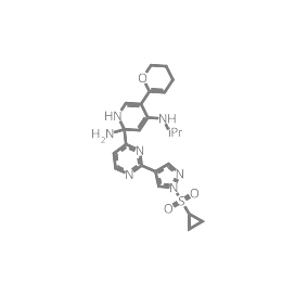 CC(C)NC1=CC(N)(c2ccnc(-c3cnn(S(=O)(=O)C4CC4)c3)n2)NC=C1C1=CCCCO1